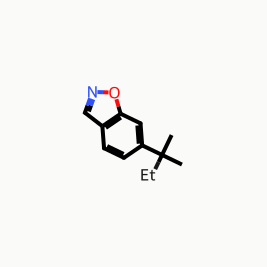 CCC(C)(C)c1ccc2cnoc2c1